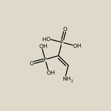 NC=C(P(=O)(O)O)P(=O)(O)O